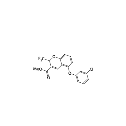 COC(=O)C1=Cc2c(Oc3cccc(Cl)c3)cccc2OC1C(F)(F)F